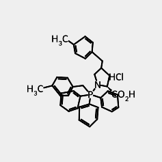 Cc1ccc(CC2C[C@@H](C(=O)O)N(P(Cc3ccc(C)cc3)(c3ccccc3)(c3ccccc3)c3ccccc3)C2)cc1.Cl